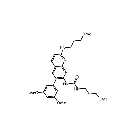 COCCCNC(=O)Nc1nc2nc(NCCCOC)ccc2cc1-c1cc(OC)cc(OC)c1